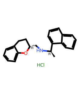 C[C@@H](NC[C@H]1CCc2ccccc2O1)c1cccc2ccccc12.Cl